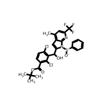 Cc1cc(C(F)(F)F)nc2c1cc(C(O)c1c(Cl)ccc(C(=O)OC(C)(C)C)c1Cl)n2[S+]([O-])c1ccccc1